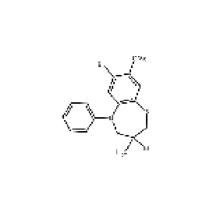 CCC1(C)CSc2cc(OC)c(Br)cc2N(c2ccccc2)C1